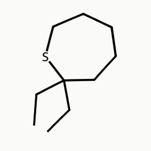 CCC1(CC)CCCCCS1